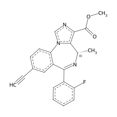 C#Cc1ccc2c(c1)C(c1ccccc1F)=N[C@@H](C)c1c(C(=O)OC)ncn1-2